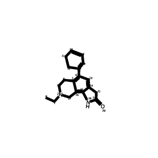 CCN1CCc2c(C3=CC=CCC3)cc3c(c2C1)NC(=O)C3